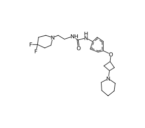 O=C(NCCN1CCC(F)(F)CC1)Nc1ccc(OC2CC(N3CCCCC3)C2)cc1